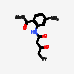 COC(=O)c1ccc([N+](=O)[O-])cc1NC(=O)CC(=O)CC(C)C